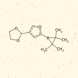 CC1(C)B(c2cc(C3OCCO3)co2)C1(C)C